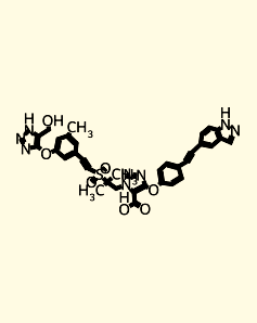 Cc1cc(C#CS(=O)(=O)C(C)(C)Cn2nnc(Oc3ccc(C#Cc4ccc5[nH]ncc5c4)cc3)c2C(=O)O)cc(Oc2nn[nH]c2CO)c1